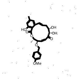 COc1ccc(CO[C@@H]2/C=C\C(=O)[C@@H](O)[C@@H](O)C/C=C/c3cc(C)cc(O)c3C(=O)O[C@H]2C)cc1